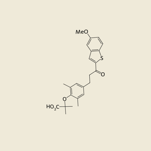 COc1ccc2sc(C(=O)CCc3cc(C)c(OC(C)(C)C(=O)O)c(C)c3)cc2c1